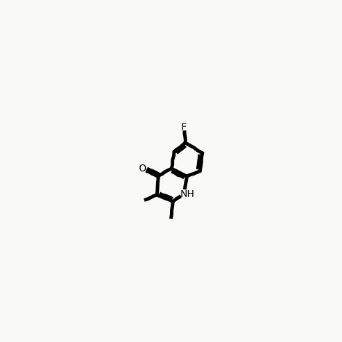 Cc1[nH]c2ccc(F)cc2c(=O)c1C